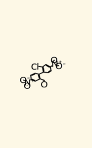 O=Cc1cc([N+](=O)[O-])ccc1-c1ccc([N+](=O)[O-])cc1Cl